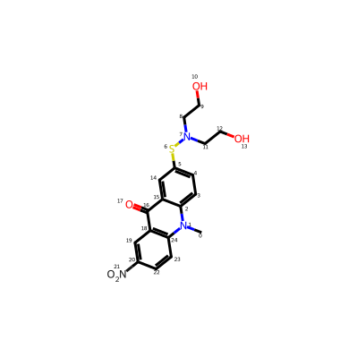 Cn1c2ccc(SN(CCO)CCO)cc2c(=O)c2cc([N+](=O)[O-])ccc21